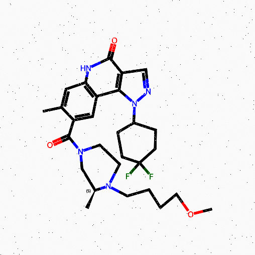 COCCCCN1CCN(C(=O)c2cc3c(cc2C)[nH]c(=O)c2cnn(C4CCC(F)(F)CC4)c23)C[C@@H]1C